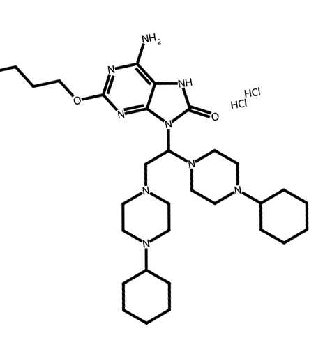 CCCCOc1nc(N)c2[nH]c(=O)n(C(CN3CCN(C4CCCCC4)CC3)N3CCN(C4CCCCC4)CC3)c2n1.Cl.Cl